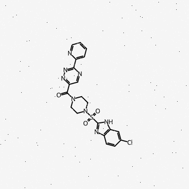 O=C(c1cnc(-c2ccccn2)nn1)N1CCN(S(=O)(=O)c2nc3ccc(Cl)cc3[nH]2)CC1